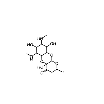 [CH]C1CC(=O)C2(O)OC3C(NC)C(O)C(NC)C(O)C3OC2O1